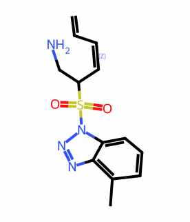 C=C/C=C\C(CN)S(=O)(=O)n1nnc2c(C)cccc21